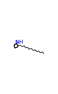 CCCCCCCCCCCCCCc1ccccc1NC